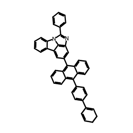 C1=CC(c2ccc(-c3c4ccccc4c(-c4cc5nc(-c6ccccc6)n6c7ccccc7c(c4)c56)c4ccccc34)cc2)=CCC1